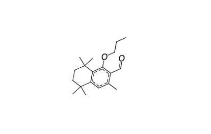 CCCOc1c(C=O)c(C)cc2c1C(C)(C)CCC2(C)C